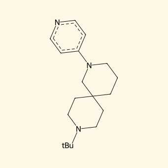 CC(C)(C)N1CCC2(CCCN(c3ccncc3)C2)CC1